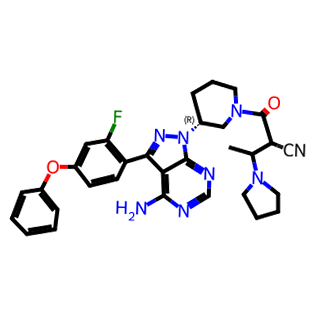 CC(C(C#N)C(=O)N1CCC[C@@H](n2nc(-c3ccc(Oc4ccccc4)cc3F)c3c(N)ncnc32)C1)N1CCCC1